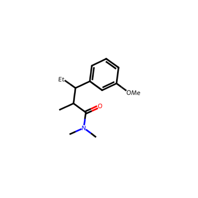 CCC(c1cccc(OC)c1)C(C)C(=O)N(C)C